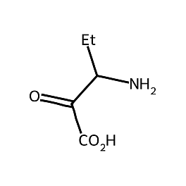 CCC(N)C(=O)C(=O)O